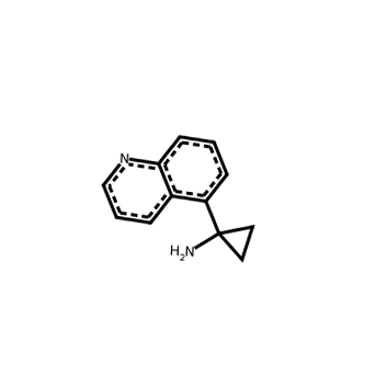 NC1(c2cccc3ncccc23)CC1